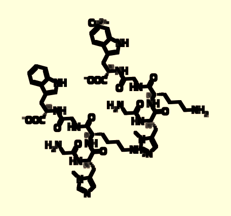 Cn1cncc1C[C@H](NC(=O)CN)C(=O)N[C@@H](CCCCN)C(=O)NCC(=O)N[C@@H](Cc1c[nH]c2ccccc12)C(=O)[O-].Cn1cncc1C[C@H](NC(=O)CN)C(=O)N[C@@H](CCCCN)C(=O)NCC(=O)N[C@@H](Cc1c[nH]c2ccccc12)C(=O)[O-].[Cu+2]